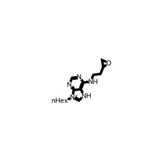 CCCCCC[n+]1c[nH]c2c(NCCC3CO3)ncnc21